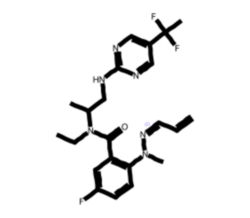 C=C/C=N\N(C)c1ccc(F)cc1C(=O)N(CC)C(C)CNc1ncc(C(C)(F)F)cn1